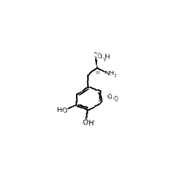 N[C@@H](Cc1ccc(O)c(O)c1)C(=O)O.[O].[O]